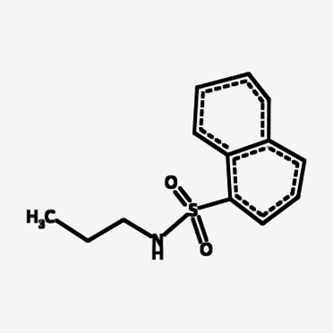 CCCNS(=O)(=O)c1cccc2ccccc12